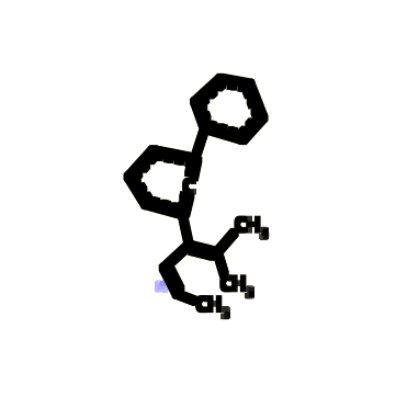 C/C=C\C(=C(C)C)c1cccc(-c2ccccc2)c1